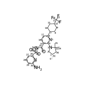 C[C@@H]1CN(c2nc(C3CCC(C(F)(F)F)CC3)ccc2C(=O)NS(=O)(=O)c2cccc(N)n2)C(C)(C)C1